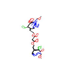 COCn1ncc(CCOC(=O)CC(=O)OCCc2cnn(COC)c(=O)c2Cl)c(Cl)c1=O